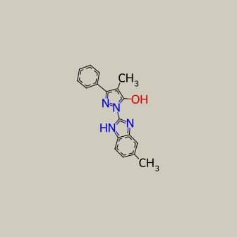 Cc1ccc2[nH]c(-n3nc(-c4ccccc4)c(C)c3O)nc2c1